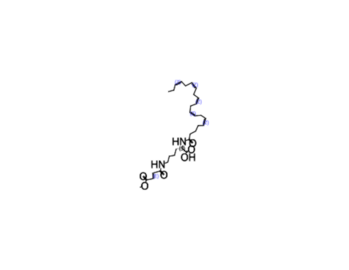 CC/C=C\C/C=C\C/C=C\C/C=C\C/C=C\CCCC(=O)N[C@@H](CCCCNC(=O)/C=C/C(=O)OC)C(=O)O